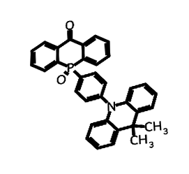 CC1(C)c2ccccc2N(c2ccc(P3(=O)c4ccccc4C(=O)c4ccccc43)cc2)c2ccccc21